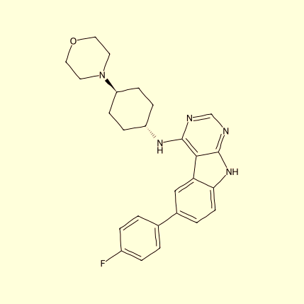 Fc1ccc(-c2ccc3[nH]c4ncnc(N[C@H]5CC[C@H](N6CCOCC6)CC5)c4c3c2)cc1